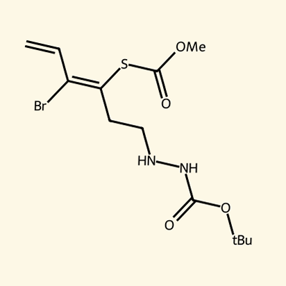 C=C/C(Br)=C(/CCNNC(=O)OC(C)(C)C)SC(=O)OC